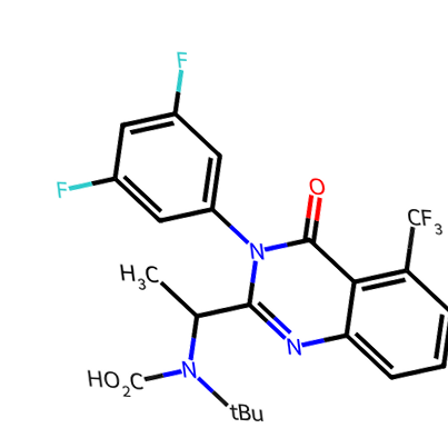 CC(c1nc2cccc(C(F)(F)F)c2c(=O)n1-c1cc(F)cc(F)c1)N(C(=O)O)C(C)(C)C